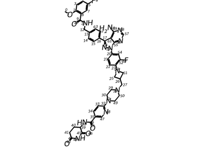 COc1ccc(F)cc1C(=O)NCc1ccc(-c2nn(-c3ccc(N4CC(CN5CCN(c6ccc(C(=O)NC7CCC(=O)NC7=O)cn6)CC5)C4)c(F)c3)c3ncnc(N)c23)cc1